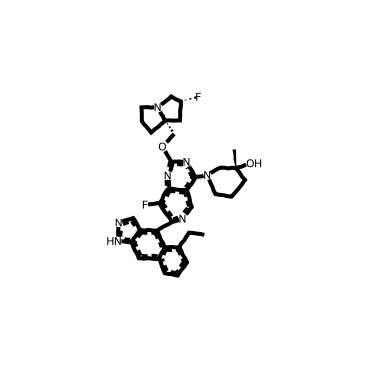 CCc1cccc2cc3[nH]ncc3c(-c3ncc4c(N5CCC[C@@](C)(O)C5)nc(OC[C@]56CCCN5C[C@H](F)C6)nc4c3F)c12